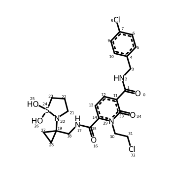 O=C(NCc1ccc(Cl)cc1)c1ccc(C(=O)NCC2(N3CCCS3(O)O)CC2)n(CCCl)c1=O